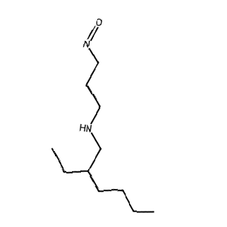 CCCCC(CC)CNCCCN=O